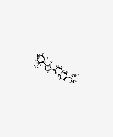 CCCN(CCC)c1ccc2cc(-c3ccc(-c4ccncc4C#N)n3C)ccc2c1